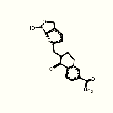 NC(=O)c1ccc2c(c1)CCC(Cc1ccc3c(c1)B(O)OC3)C2=O